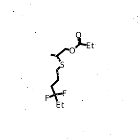 CCC(=O)OCC(C)SCCCC(F)(F)CC